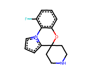 Fc1cccc2c1-n1cccc1C1(CCNCC1)O2